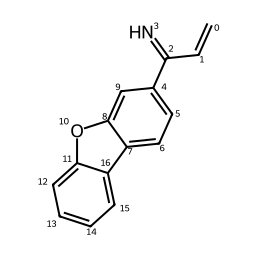 C=CC(=N)c1ccc2c(c1)oc1ccccc12